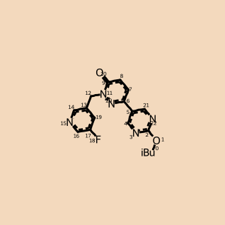 CCC(C)Oc1ncc(-c2ccc(=O)n(Cc3cncc(F)c3)n2)cn1